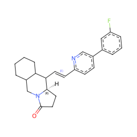 O=C1CC[C@@H]2C(/C=C/c3ccc(-c4cccc(F)c4)cn3)C3CCCCC3CN12